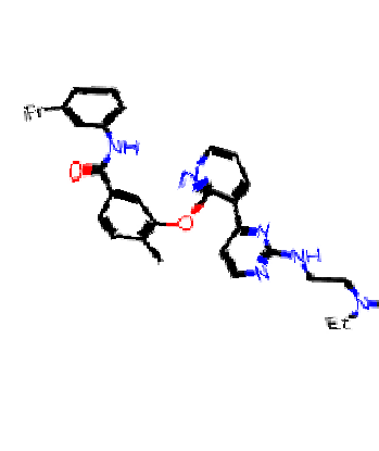 CCN(CC)CCNc1nccc(-c2cccnc2Oc2cc(C(=O)Nc3cccc(C(C)C)c3)ccc2C)n1